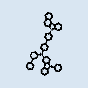 C1=C(c2ccccc2)CCC=C1N(c1ccc(-c2ccc(-n3c4ccccc4c4c5ccccc5ccc43)cc2)cc1)c1ccc2c(c1)c1ccccc1n2-c1ccccc1